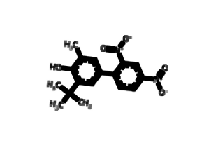 Cc1cc(-c2ccc([N+](=O)[O-])cc2[N+](=O)[O-])cc(C(C)(C)C)c1O